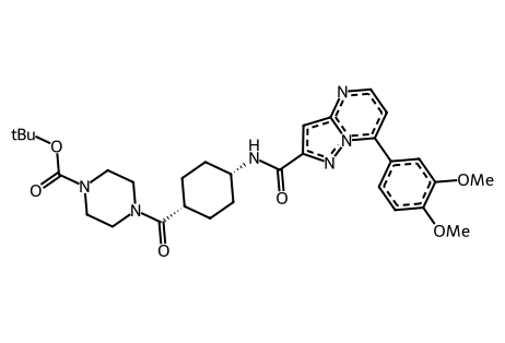 COc1ccc(-c2ccnc3cc(C(=O)N[C@H]4CC[C@@H](C(=O)N5CCN(C(=O)OC(C)(C)C)CC5)CC4)nn23)cc1OC